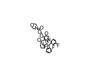 O=C(OCOc1c2n(ncc1=O)[C@@H](C(c1ccccc1)c1cccc(F)c1F)[C@H]1CCCN1C2=O)N1CCOCC1